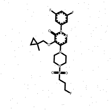 CC1(COc2c(N3CCN(S(=O)(=O)CCCF)CC3)cnn(-c3cc(F)cc(F)c3)c2=O)CC1